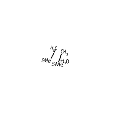 CSC.CSC.O